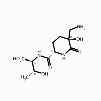 C[C@@H](O)[C@H](NC(=O)[C@@H]1CC[C@](O)(CN)C(=O)N1)C(=O)O